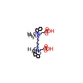 C\C(=C/C=C/C=C/C=C/C(C)=[N+](\CCCCS(=O)(=O)O)c1c(C)ccc2ccccc12)N(CCCCS(=O)(=O)O)c1c(C)ccc2ccccc12